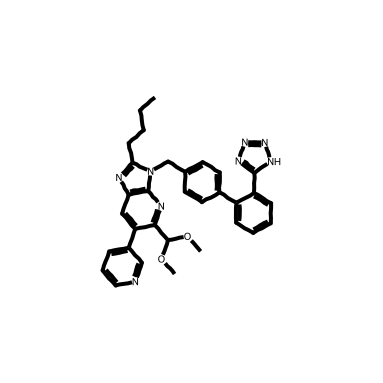 CCCCc1nc2cc(-c3cccnc3)c(C(OC)OC)nc2n1Cc1ccc(-c2ccccc2-c2nnn[nH]2)cc1